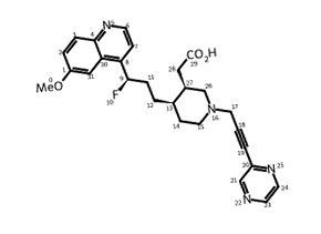 COc1ccc2nccc([C@H](F)CC[C@@H]3CCN(CC#Cc4cnccn4)C[C@@H]3CC(=O)O)c2c1